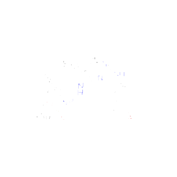 CC(C)(C)S(=O)(=O)Nc1ccccc1Nc1nc(NC2CCC(=O)CC2)ncc1C(F)(F)F